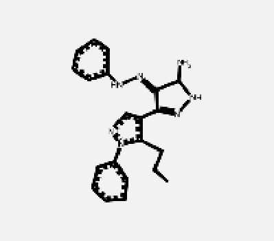 CCCc1c(C2=NNC(N)C2=NNc2ccccc2)cnn1-c1ccccc1